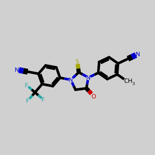 Cc1cc(N2C(=O)CN(c3ccc(C#N)c(C(F)(F)F)c3)C2=S)ccc1C#N